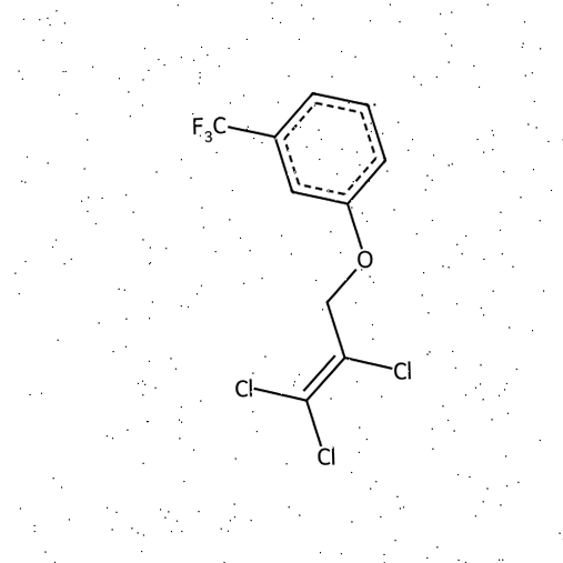 FC(F)(F)c1c[c]cc(OCC(Cl)=C(Cl)Cl)c1